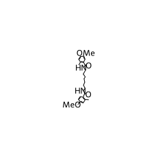 COc1ccc(C(=O)NCCCCCCCNC(=O)c2ccc(OC)cc2C)c(C)c1